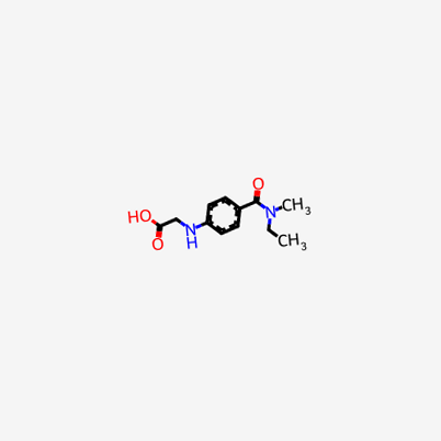 CCN(C)C(=O)c1ccc(NCC(=O)O)cc1